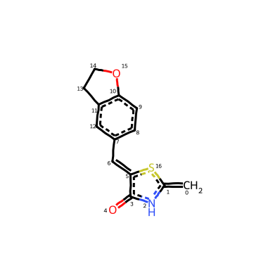 C=c1[nH]c(=O)/c(=C/c2ccc3c(c2)CCO3)s1